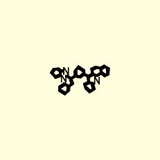 c1cc(-c2c3ccccc3nc3c2ccc2ccccc23)cc(-c2cc3ccccc3n3c2nc2ccccc23)c1